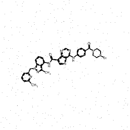 CCN1CCN(C(=O)c2ccc(Nc3ncnc4c(C(=O)Nc5cccc6c5c(C)nn6Cc5cccc(C)n5)csc34)cc2)CC1